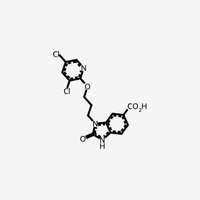 O=C(O)c1ccc2[nH]c(=O)n(CCCOc3ncc(Cl)cc3Cl)c2c1